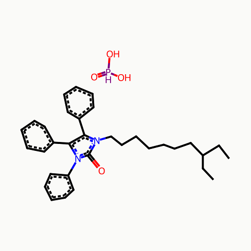 CCC(CC)CCCCCCCn1c(-c2ccccc2)c(-c2ccccc2)n(-c2ccccc2)c1=O.O=[PH](O)O